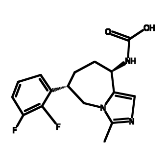 Cc1ncc2n1C[C@H](c1cccc(F)c1F)CC[C@H]2NC(=O)O